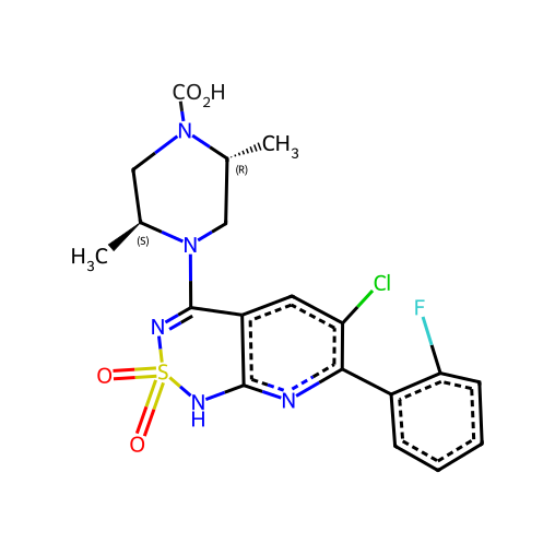 C[C@@H]1CN(C2=NS(=O)(=O)Nc3nc(-c4ccccc4F)c(Cl)cc32)[C@@H](C)CN1C(=O)O